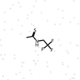 CC(=S)NCC(F)(F)F